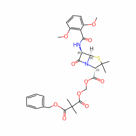 COc1cccc(OC)c1C(=O)N[C@@H]1C(=O)N2[C@@H]1SC(C)(C)[C@@H]2C(=O)OCOC(=O)C(C)(C)C(=O)OCc1ccccc1